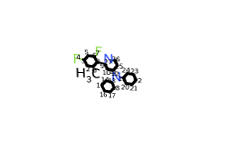 Cc1cc(F)cc(F)c1-c1cc(N(c2ccccc2)c2ccccc2)ccn1